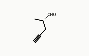 C#CC[C@H](C)C=O